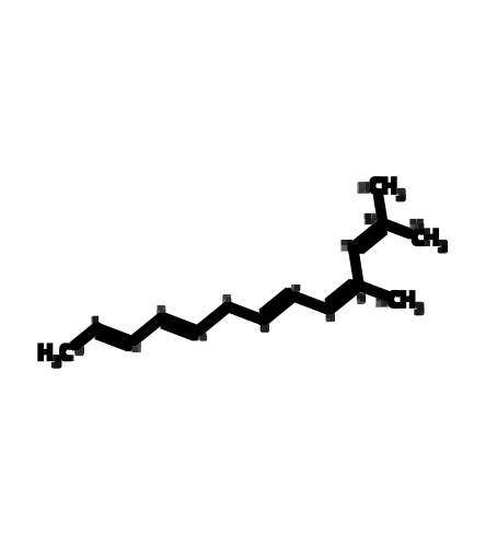 CC=CC=CCC=CC=C(C)C=C(C)C